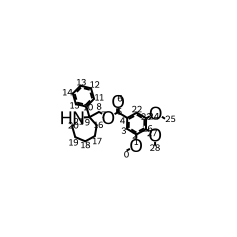 COc1cc(C(=O)OCC2(c3ccccc3)CCCCCN2)cc(OC)c1OC